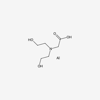 O=C(O)CN(CCO)CCO.[Al]